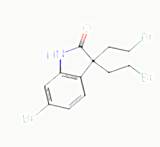 O=C1Nc2cc(Br)ccc2C1(CCBr)CCBr